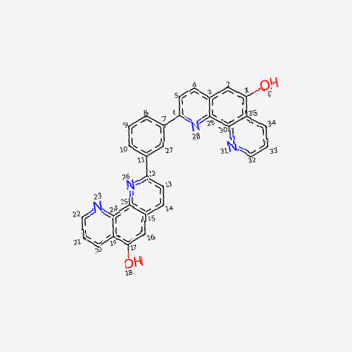 Oc1cc2ccc(-c3cccc(-c4ccc5cc(O)c6cccnc6c5n4)c3)nc2c2ncccc12